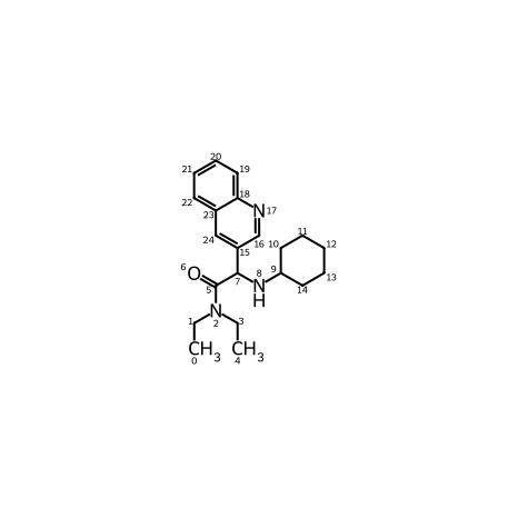 CCN(CC)C(=O)C(NC1CCCCC1)c1cnc2ccccc2c1